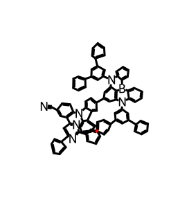 N#Cc1ccc(-n2c3ccccc3c3cc(-c4cc5c6c(c4)N(c4cc(-c7ccccc7)cc(-c7ccccc7)c4)c4ccccc4B6c4ccccc4N5c4cc(-c5ccccc5)cc(-c5ccccc5)c4)ccc32)c(-c2cc(-c3ccccc3)nc(-c3ccccc3)n2)c1